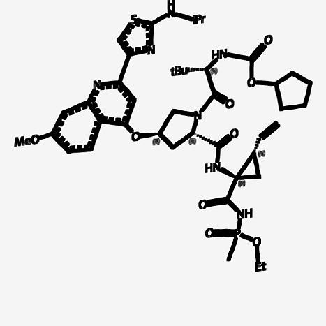 C=C[C@@H]1C[C@]1(NC(=O)[C@@H]1C[C@@H](Oc2cc(-c3csc(NC(C)C)n3)nc3cc(OC)ccc23)CN1C(=O)[C@@H](NC(=O)OC1CCCC1)C(C)(C)C)C(=O)NP(C)(=O)OCC